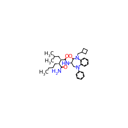 CCCC[C@H](C(N)=O)[C@@H](CC(C)C)C(=O)NC1CN(c2ccccc2)c2ccccc2N(CC2CCC2)C1=O